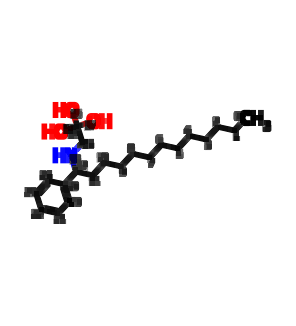 CCCCCCCCCCCCC(NCC(O)(O)O)c1ccccc1